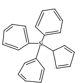 [C]1=CC=CC1[Si](c1ccccc1)(c1ccccc1)c1ccccc1